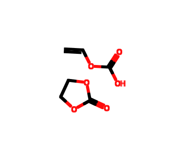 C=COC(=O)O.O=C1OCCO1